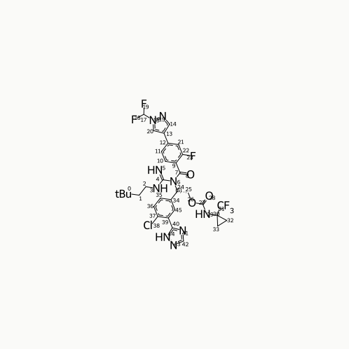 CC(C)(C)CCNC(=N)N(C(=O)c1ccc(-c2cnn(C(F)F)c2)cc1F)[C@H](COC(=O)NC1(C(F)(F)F)CC1)c1ccc(Cl)c(-c2ncn[nH]2)c1